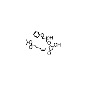 CC(C)OC(=O)CCC/C=C\C[C@H]1C(=O)C[C@@H](O)[C@@H]1OCC(O)COc1ccccc1